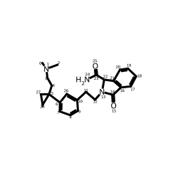 CN(C)CCC1(c2cccc(CCN3C(=O)c4ccc[c]c4C3C(N)=O)c2)CC1